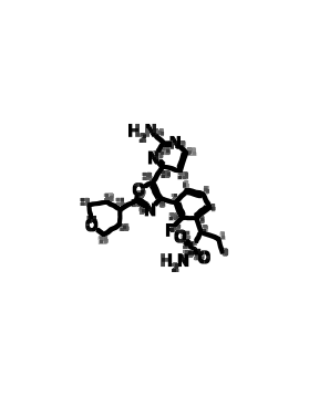 CCC(c1cccc(-c2nc(C3CCOCC3)oc2-c2ccnc(N)n2)c1F)S(N)(=O)=O